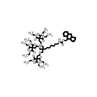 CCOC(=O)C(CCOCC(CCCCCCCNC(=O)OCc1c2ccccc2cc2ccccc12)(COCCC(C(=O)OCC)(C(=O)OCC)C(=O)OCC)COCCC(C(=O)OCC)(C(=O)OCC)C(=O)OCC)(C(=O)OCC)C(=O)OCC